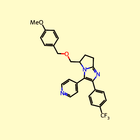 COc1ccc(COCC2CCc3nc(-c4ccc(C(F)(F)F)cc4)c(-c4ccncc4)n32)cc1